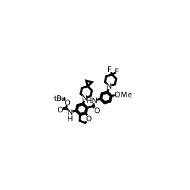 COc1ccc(NC(=O)c2c(N3CCC4(CC3)CC4)cc(NC(=O)OC(C)(C)C)c3c2OCC3)cc1N1CCC(F)(F)CC1